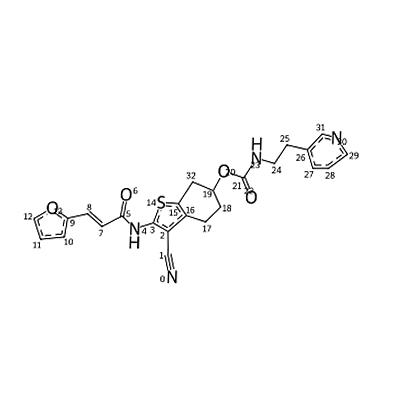 N#Cc1c(NC(=O)C=Cc2ccco2)sc2c1CCC(OC(=O)NCCc1cccnc1)C2